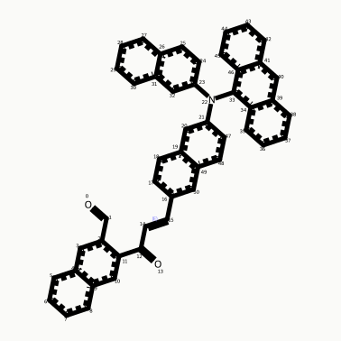 O=Cc1cc2ccccc2cc1C(=O)/C=C/c1ccc2cc(N(c3ccc4ccccc4c3)c3c4ccccc4cc4ccccc34)ccc2c1